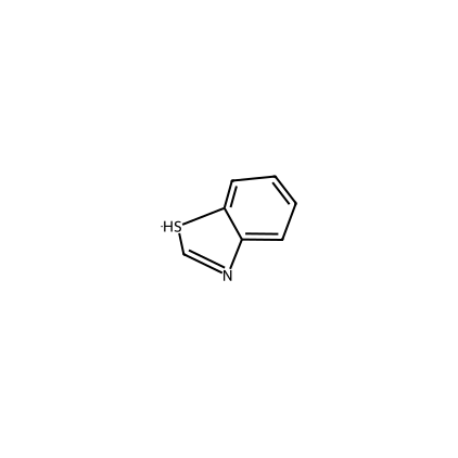 C1=Nc2ccccc2[SH]1